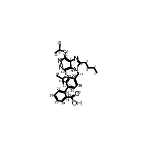 CCCCc1nc2c(SC(C)C)nnc(SC(C)C)c2n1Cc1ccc(-c2ccccc2C(=O)O)cc1